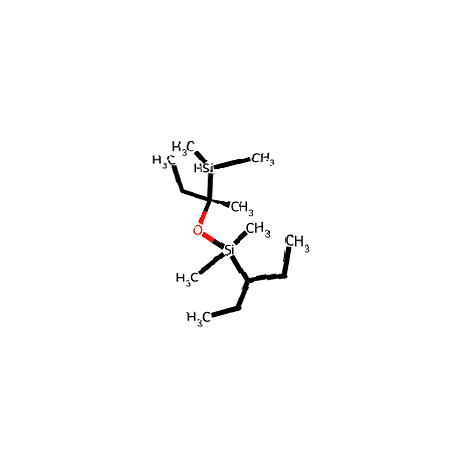 CCC(CC)[Si](C)(C)O[C@](C)(CC)[SiH](C)C